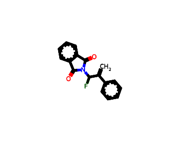 C=C(c1ccccc1)C(F)N1C(=O)c2ccccc2C1=O